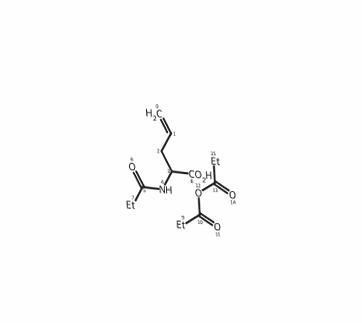 C=CCC(NC(=O)CC)C(=O)O.CCC(=O)OC(=O)CC